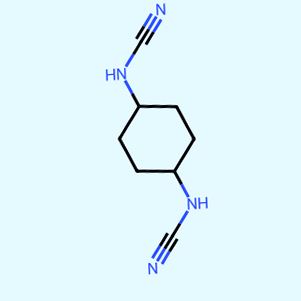 N#CNC1CCC(NC#N)CC1